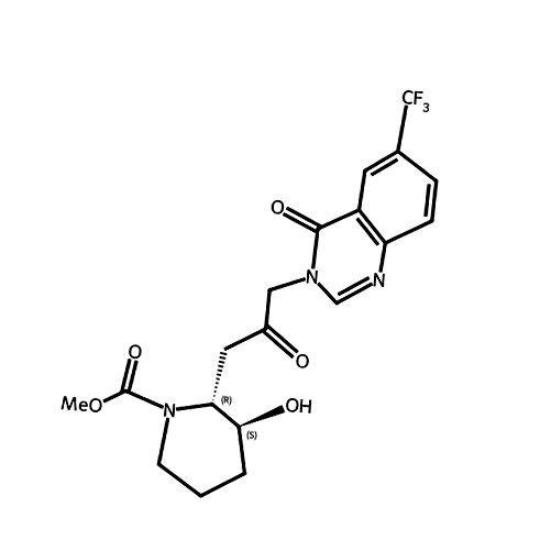 COC(=O)N1CCC[C@H](O)[C@H]1CC(=O)Cn1cnc2ccc(C(F)(F)F)cc2c1=O